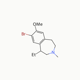 CCC1CN(C)CCc2cc(OC)c(Br)cc21